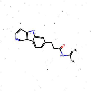 C=C(C)NC(=O)CCc1ccc2c(c1)[nH]c1ccncc12